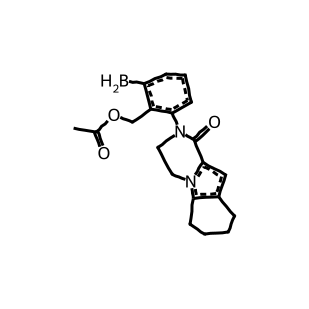 Bc1cccc(N2CCn3c(cc4c3CCCC4)C2=O)c1COC(C)=O